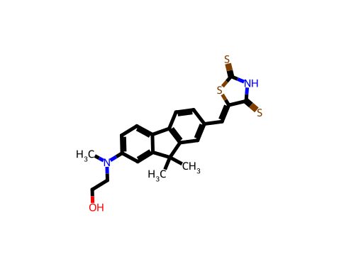 CN(CCO)c1ccc2c(c1)C(C)(C)c1cc(/C=C3\SC(=S)NC3=S)ccc1-2